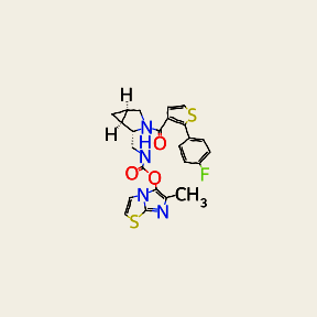 Cc1nc2sccn2c1OC(=O)NC[C@@H]1[C@H]2C[C@H]2CN1C(=O)c1ccsc1-c1ccc(F)cc1